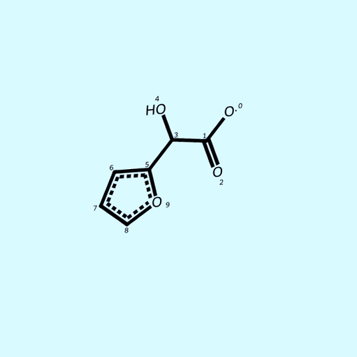 [O]C(=O)C(O)c1ccco1